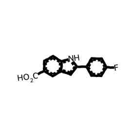 O=C(O)c1ccc2[nH]c(-c3ccc(F)cc3)cc2c1